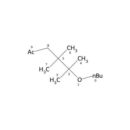 CCCCOC(C)(C)C(C)(C)CC(C)=O